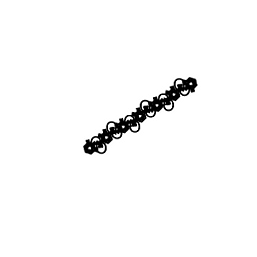 Cc1cccc(C)c1OC(=O)c1ccc(C(=O)Oc2ccc(OC(=O)c3ccc(C(=O)Oc4ccc(OC(=O)c5ccc(C(=O)Oc6c(C)cccc6C)c(C)c5C)c(C)c4C)c(C)c3C)c(C)c2C)c(C)c1C